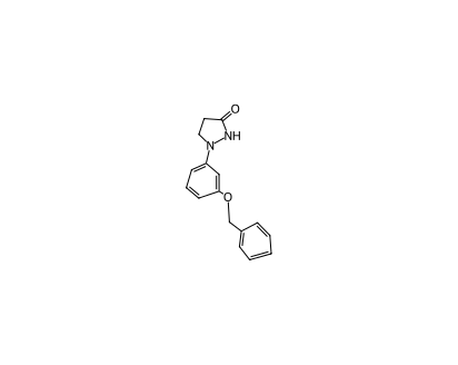 O=C1CCN(c2cccc(OCc3ccccc3)c2)N1